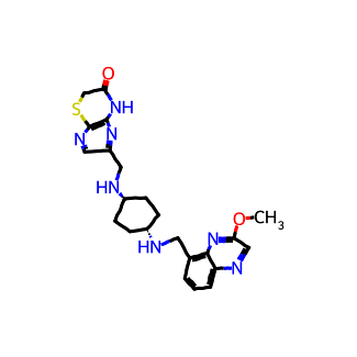 COc1cnc2cccc(CN[C@H]3CC[C@H](NCc4cnc5c(n4)NC(=O)CS5)CC3)c2n1